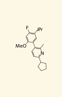 COc1cc(F)c(C(C)C)cc1-c1ccc(C2CCCC2)nc1C